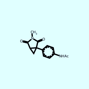 CC(=O)Nc1ccc(C23CC2C(=O)N(C)C3=O)cc1